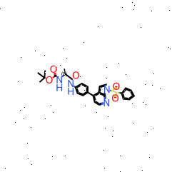 C[C@H](NC(=O)OC(C)(C)C)C(=O)Nc1ccc(-c2ccnc3c2ccn3S(=O)(=O)c2ccccc2)cc1